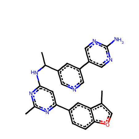 Cc1nc(NC(C)c2cncc(-c3cnc(N)nc3)c2)cc(-c2ccc3occ(C)c3c2)n1